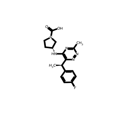 Cc1nnc([C@H](C)c2ccc(F)cc2)c(N[C@@H]2CCN(C(=O)O)C2)n1